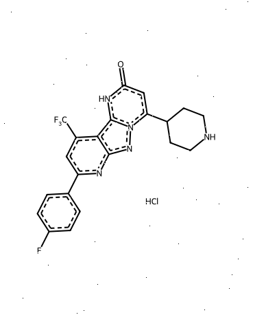 Cl.O=c1cc(C2CCNCC2)n2nc3nc(-c4ccc(F)cc4)cc(C(F)(F)F)c3c2[nH]1